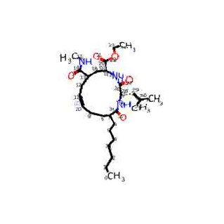 CCCCCCCC1CC/C=C\CC(C(=O)NC)C[C@@H](C(=O)OCC)NC(=O)[C@H](CC(C)C)NC1=O